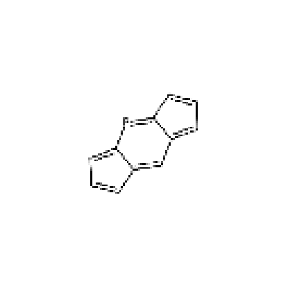 C1=Cc2pc3c(cc2=C1)C=CC=3